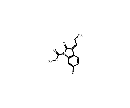 CC(C)(C)CC=C1C(=O)N(C(=O)OC(C)(C)C)c2cc(Cl)ccc21